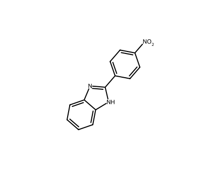 O=[N+]([O-])c1ccc(-c2nc3ccccc3[nH]2)cc1